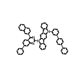 c1ccc(-c2ccc(-c3cccc(-n4c5ccccc5c5cc6c(cc54)c4ccccc4n6-c4nc(-c5ccc6ccccc6c5)c5ccc(-c6ccccc6)cc5n4)c3)cc2)cc1